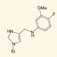 CCN1C=C(CNc2ccc(F)c(OC)c2)NC1